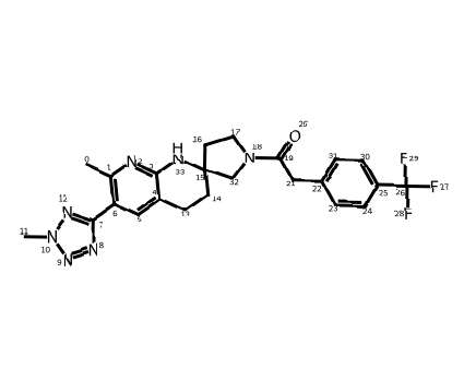 Cc1nc2c(cc1-c1nnn(C)n1)CCC1(CCN(C(=O)Cc3ccc(C(F)(F)F)cc3)C1)N2